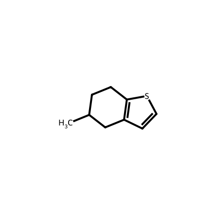 CC1CCc2sccc2C1